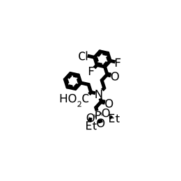 CCOP(=O)(CC(=O)N(CCC(=O)c1c(F)ccc(Cl)c1F)C(Cc1ccccc1)C(=O)O)OCC